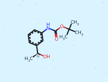 C[C@H](O)c1cccc(NC(=O)OC(C)(C)C)c1